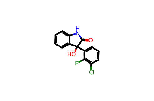 O=C1Nc2ccccc2C1(O)c1cccc(Cl)c1F